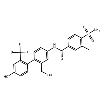 Cc1cc(C(=O)Nc2ccc(-c3ccc(O)cc3C(F)(F)F)c(CO)c2)ccc1S(N)(=O)=O